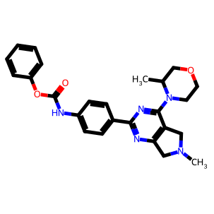 CC1COCCN1c1nc(-c2ccc(NC(=O)Oc3ccccc3)cc2)nc2c1CN(C)C2